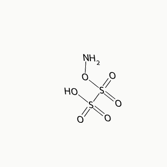 NOS(=O)(=O)S(=O)(=O)O